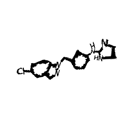 Clc1ccc2c(cnn2Cc2cccc(NC3=NCCN3)c2)c1